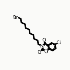 O=c1oc2ccc(Cl)cc2c(=O)n1CCCCCCCCCCBr